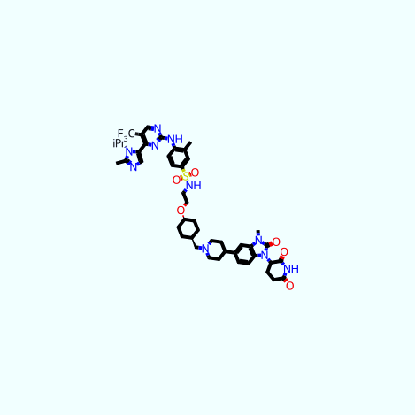 Cc1cc(S(=O)(=O)NCCO[C@H]2CC[C@H](CN3CCC(c4ccc5c(c4)n(C)c(=O)n5C4CCC(=O)NC4=O)CC3)CC2)ccc1Nc1ncc(C(F)(F)F)c(-c2cnc(C)n2C(C)C)n1